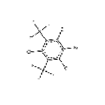 FC(F)(F)c1c(Cl)c(Br)c(Cl)c(C(F)(F)F)c1Cl